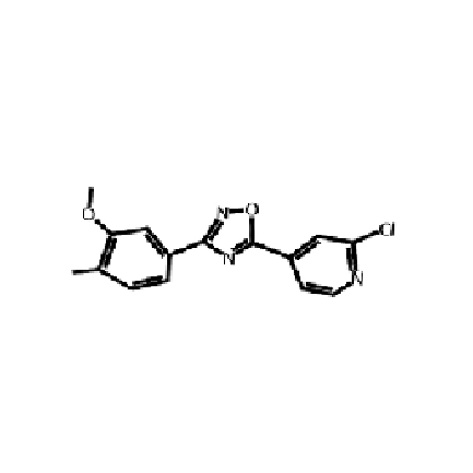 COc1cc(-c2noc(-c3ccnc(Cl)c3)n2)ccc1C